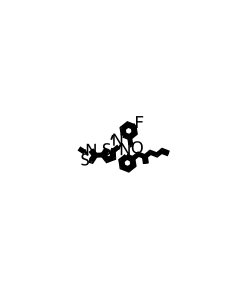 C=CCCC(=C)Cc1ccccc1N1C(=O)c2cc(F)ccc2N(C)C1c1ccc(-c2csc(C)n2)s1